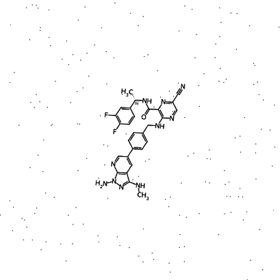 CNc1nn(N)c2ncc(-c3ccc(CNc4ncc(C#N)nc4C(=O)N[C@@H](C)c4ccc(F)c(F)c4)cc3)cc12